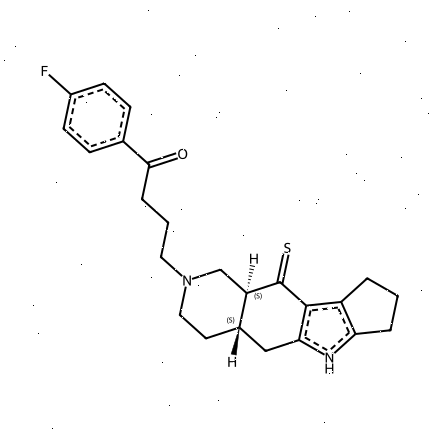 O=C(CCCN1CC[C@H]2Cc3[nH]c4c(c3C(=S)[C@@H]2C1)CCC4)c1ccc(F)cc1